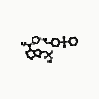 CN(c1ncnc2sc(CC(F)(F)F)cc12)[C@@H]1CC[C@H](NCc2ccc(S(=O)(=O)c3ccccc3)cc2)C1.Cl